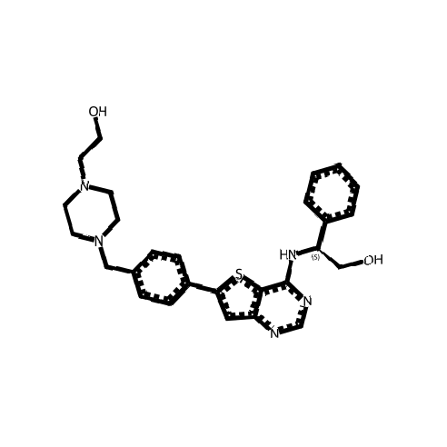 OCCN1CCN(Cc2ccc(-c3cc4ncnc(N[C@H](CO)c5ccccc5)c4s3)cc2)CC1